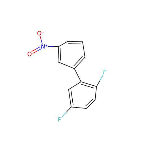 O=[N+]([O-])c1[c]ccc(-c2cc(F)ccc2F)c1